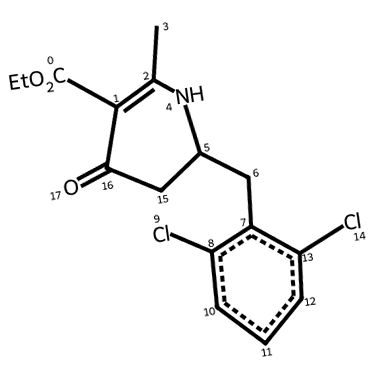 CCOC(=O)C1=C(C)NC(Cc2c(Cl)cccc2Cl)CC1=O